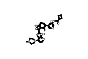 CN1CCN(c2ccnc3[nH]c(-c4n[nH]c5ccc(-c6cncc(NC(=O)C7CCC7)c6)c(F)c45)nc23)CC1